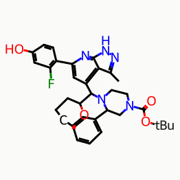 Cc1n[nH]c2nc(-c3ccc(O)cc3F)cc(C(C3CCCCO3)N3CCN(C(=O)OC(C)(C)C)CC3c3ccccc3)c12